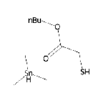 CCCCOC(=O)CS.[CH3][SnH]([CH3])[CH3]